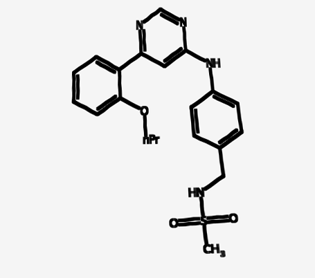 CCCOc1ccccc1-c1cc(Nc2ccc(CNS(C)(=O)=O)cc2)ncn1